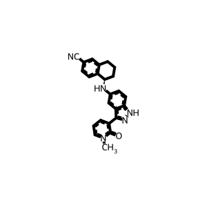 Cn1cccc(-c2n[nH]c3ccc(N[C@H]4CCCc5cc(C#N)ccc54)cc23)c1=O